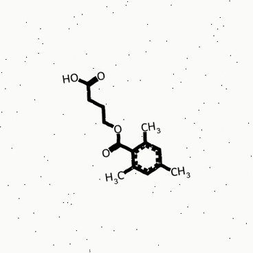 Cc1cc(C)c(C(=O)OCCCC(=O)O)c(C)c1